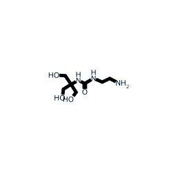 NCCNC(=O)NC(CO)(CO)CO